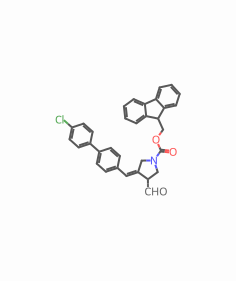 O=CC1CN(C(=O)OCC2c3ccccc3-c3ccccc32)CC1=Cc1ccc(-c2ccc(Cl)cc2)cc1